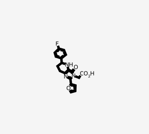 O=C(O)Cn1c(-c2ccco2)nc2c(c1=O)NC(c1ccc(F)cc1)CC2